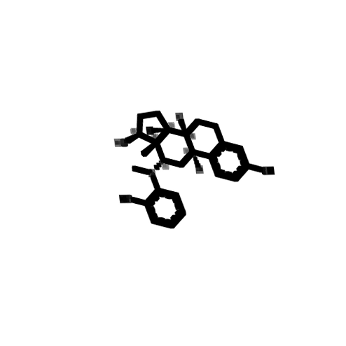 CN(c1ccccc1O)[C@H]1C[C@@H]2c3ccc(O)cc3CC[C@H]2[C@@H]2CC[C@H](O)[C@@]12C